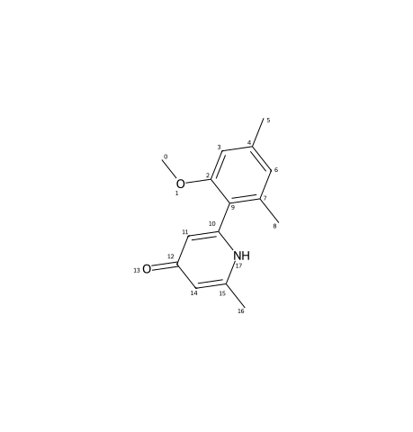 COc1cc(C)cc(C)c1-c1cc(=O)cc(C)[nH]1